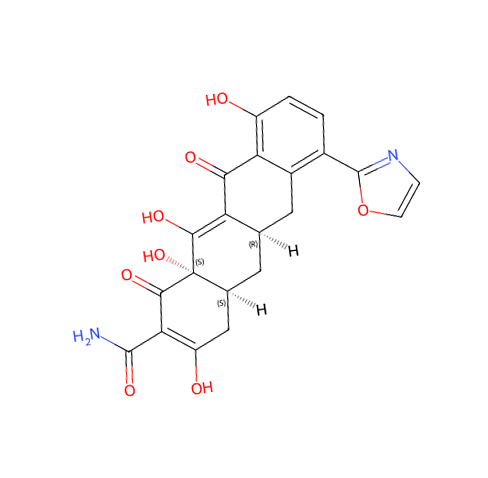 NC(=O)C1=C(O)C[C@@H]2C[C@@H]3Cc4c(-c5ncco5)ccc(O)c4C(=O)C3=C(O)[C@]2(O)C1=O